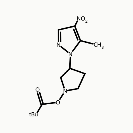 Cc1c([N+](=O)[O-])cnn1C1CCN(OC(=O)C(C)(C)C)C1